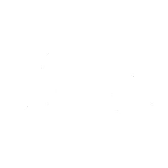 [C]1c2c(ccc3ccccc23)-c2ccc3ccccc3c21